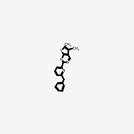 Cc1sc2nc(-c3cccc(Cc4ccccc4)n3)ncc2c1C